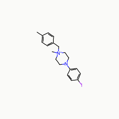 Cc1ccc(C[N+]2(C)CCN(c3ccc(I)cc3)CC2)cc1